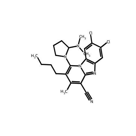 CCCCc1c(C)c(C#N)c2nc3cc(Cl)c(Cl)cc3n2c1N1CCCC1N(C)C